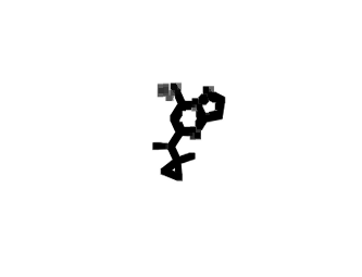 C[C@@H](c1cc(N)n2nccc2n1)C1(C)CC1